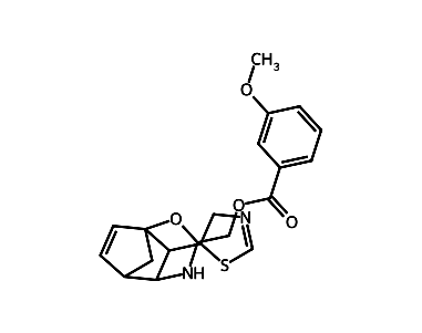 COc1cccc(C(=O)OCC2NC3C4C=CC(C4)(O2)C3C2CN=CS2)c1